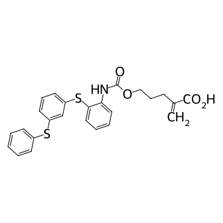 C=C(CCCOC(=O)Nc1ccccc1Sc1cccc(Sc2ccccc2)c1)C(=O)O